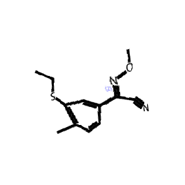 CCSc1cc(/C(C#N)=N/OC)ccc1C